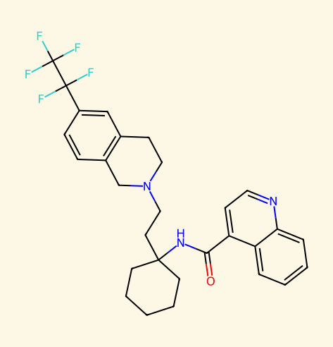 O=C(NC1(CCN2CCc3cc(C(F)(F)C(F)(F)F)ccc3C2)CCCCC1)c1ccnc2ccccc12